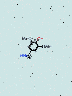 COc1cc([C@H]2CN2)cc(OC)c1O